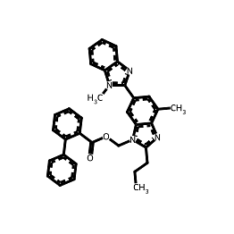 CCCc1nc2c(C)cc(-c3nc4ccccc4n3C)cc2n1COC(=O)c1ccccc1-c1ccccc1